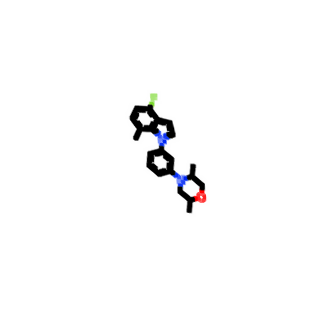 Cc1ccc(F)c2ccn(-c3cccc(N4CC(C)OCC4C)c3)c12